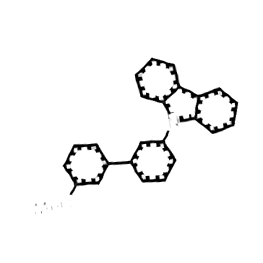 COc1[c]ccc(-c2cccc(-n3c4ccccc4c4ccccc43)c2)c1